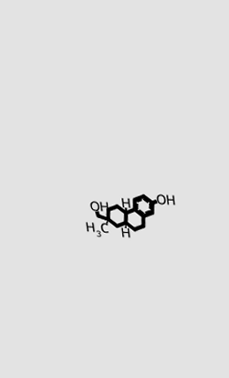 C[C@]1(CO)CC[C@@H]2c3ccc(O)cc3CC[C@H]2C1